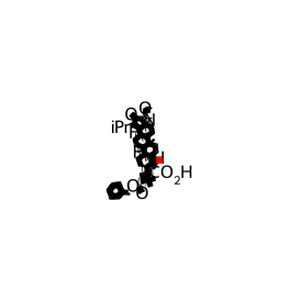 CC(C)C1=C2[C@H]3CC[C@@H]4[C@]5(C)CC[C@H]([C@@]6(C(=O)O)C[C@@H](C(=O)OCc7ccccc7)C6(C)C)C(C)(C)[C@H]5CC[C@@]4(C)[C@]3(C)CC[C@@]2(N=C=O)CC1=O